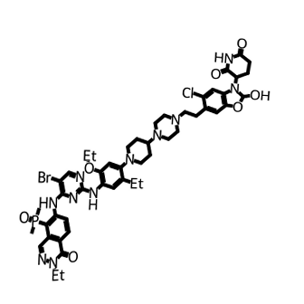 CCOc1cc(N2CCC(N3CCN(CCc4cc5c(cc4Cl)N(C4CCC(=O)NC4=O)C(O)O5)CC3)CC2)c(CC)cc1Nc1ncc(Br)c(Nc2ccc3c(=O)n(CC)ncc3c2P(C)(C)=O)n1